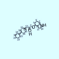 O[C@H](COc1cccc2[nH]ccc12)CN1CC=C(c2ccccc2)CC1